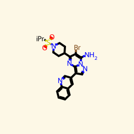 CC(C)S(=O)(=O)N1CCC(c2nc3c(-c4cnc5ccccc5c4)cnn3c(N)c2Br)CC1